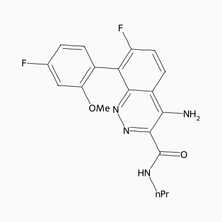 CCCNC(=O)c1nnc2c(-c3ccc(F)cc3OC)c(F)ccc2c1N